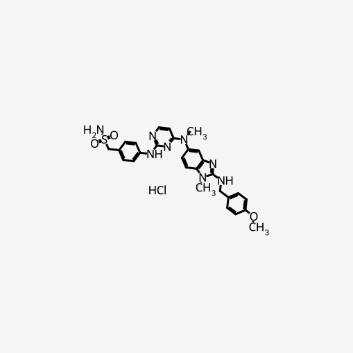 COc1ccc(CNc2nc3cc(N(C)c4ccnc(Nc5ccc(CS(N)(=O)=O)cc5)n4)ccc3n2C)cc1.Cl